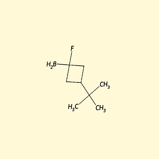 BC1(F)CC(C(C)(C)C)C1